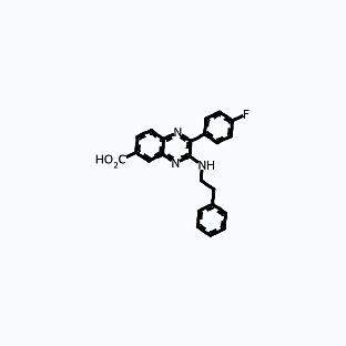 O=C(O)c1ccc2nc(-c3ccc(F)cc3)c(NCCc3ccccc3)nc2c1